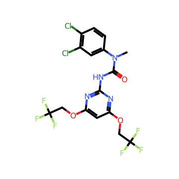 CN(C(=O)Nc1nc(OCC(F)(F)F)cc(OCC(F)(F)F)n1)c1ccc(Cl)c(Cl)c1